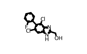 OCc1nc2c(Cl)c(-c3ccccc3F)c(Cl)cc2[nH]1